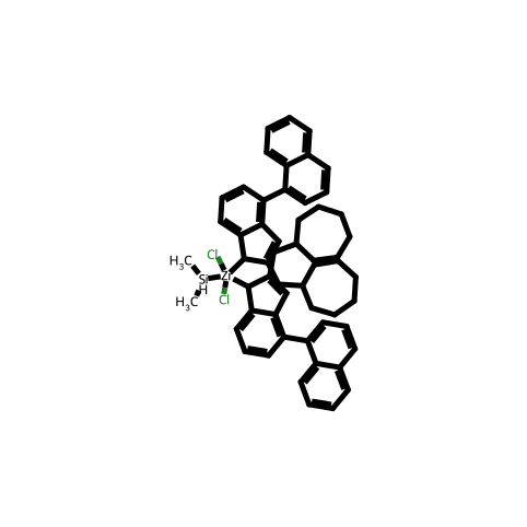 C[SiH](C)[Zr]([Cl])([Cl])([CH]1C(CC2CCCCCC2)=Cc2c(-c3cccc4ccccc34)cccc21)[CH]1C(CC2CCCCCC2)=Cc2c(-c3cccc4ccccc34)cccc21